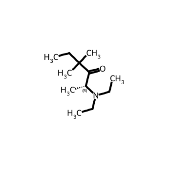 CCN(CC)[C@H](C)C(=O)C(C)(C)CC